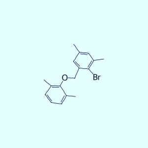 Cc1cc(C)c(Br)c(COc2c(C)cccc2C)c1